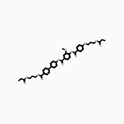 CCC(=O)OCCCOC(=O)c1ccc(-c2ccc(OC(=O)c3ccc(OC(=O)c4ccc(OCCCOC(=O)CC)cc4)c(OC)c3)cc2)cc1